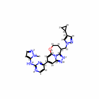 Cn1nccc1Nc1nccc(-c2cc3n4c(nnc4c2)C(Cn2cc(C4CC4)cn2)CCO3)n1